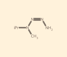 CC(C)N(C)/N=N\N